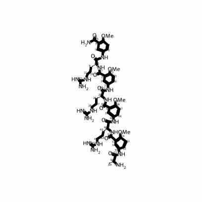 COc1ccc(NC(=O)[C@@H](CCCNC(=N)N)NC(=O)c2cc(NC(=O)[C@@H](CCCNC(=N)N)NC(=O)c3cc(NC(=O)[C@@H](CCCNC(=N)N)NC(=O)c4cc(NC(=O)[C@@H](C)N)ccc4OC)ccc3OC)ccc2OC)cc1C(N)=O